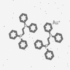 [Au+].c1ccc(P(CCP(c2ccccc2)c2ccccc2)c2ccccc2)cc1.c1ccc(P(CCP(c2ccccc2)c2ccccc2)c2ccccc2)cc1